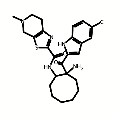 CN1CCc2nc(C(=O)NC3CCCCCCC3(N)C(=O)c3cc4cc(Cl)ccc4[nH]3)sc2C1